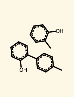 Cc1ccc(-c2ccccc2O)cc1.Cc1ccccc1O